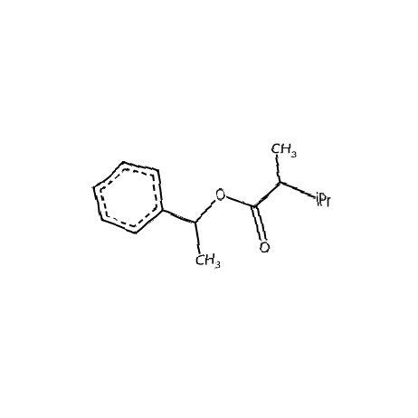 CC(OC(=O)C(C)C(C)C)c1ccccc1